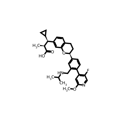 COc1cc(-c2ccc([C@@H]3CCc4ccc([C@H](C5CC5)[C@H](C)C(=O)O)cc4O3)cc2CNC(C)C)c(F)cn1